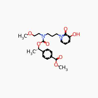 COCCN(CCCn1cccc(O)c1=O)C(=O)O[C@@H](C)c1ccc(C(=O)OC)cc1